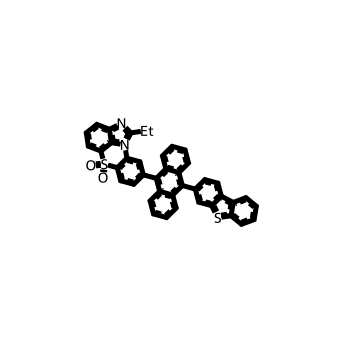 CCc1nc2cccc3c2n1-c1cc(-c2c4ccccc4c(-c4ccc5c(c4)sc4ccccc45)c4ccccc24)ccc1S3(=O)=O